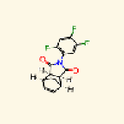 O=C1[C@@H]2[C@H](C(=O)N1c1cc(F)c(F)cc1F)[C@@H]1C=C[C@H]2CC1